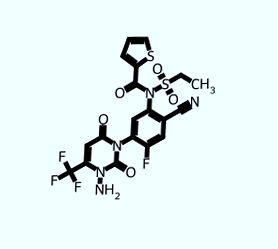 CCS(=O)(=O)N(C(=O)c1cccs1)c1cc(-n2c(=O)cc(C(F)(F)F)n(N)c2=O)c(F)cc1C#N